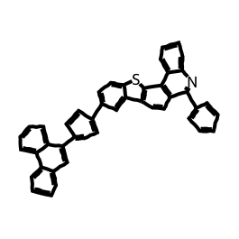 c1ccc(-c2nc3ccccc3c3c2ccc2c4cc(-c5ccc(-c6cc7ccccc7c7ccccc67)cc5)ccc4sc23)cc1